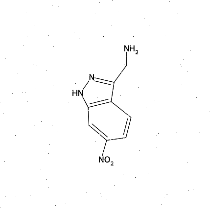 NCc1n[nH]c2cc([N+](=O)[O-])ccc12